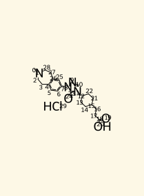 CN1CCc2ccc(-n3ncn([C@H]4CC[C@H](CCC(=O)O)CC4)c3=O)cc2CC1.Cl